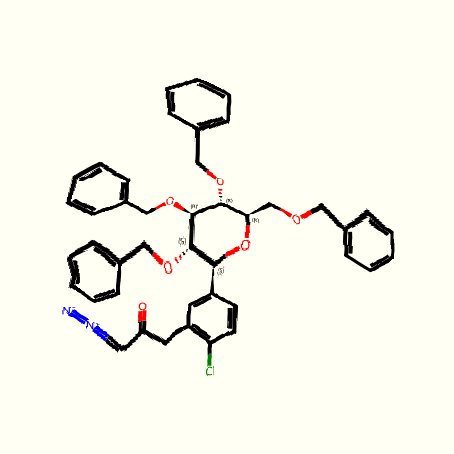 [N-]=[N+]=CC(=O)Cc1cc([C@@H]2O[C@H](COCc3ccccc3)[C@@H](OCc3ccccc3)[C@H](OCc3ccccc3)[C@H]2OCc2ccccc2)ccc1Cl